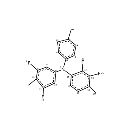 Cc1ccc(N(c2cc(F)c(C)c(F)c2)c2ccc(C)c(F)c2F)cc1